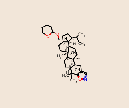 CC(C)[C@@H]1CC[C@]2(COC3CCCCO3)CC[C@]3(C)[C@H](CC[C@@H]4[C@@]5(C)Cc6cnoc6C(C)(C)[C@@H]5CC[C@]43C)[C@@H]12